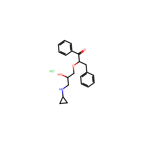 Cl.O=C(c1ccccc1)C(Cc1ccccc1)OCC(O)CNC1CC1